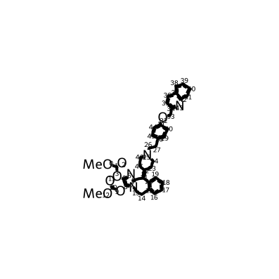 COC(=O)Oc1nc2n(c1OC(=O)OC)CCc1ccccc1C2=C1CCN(CCc2ccc(OCc3ccc4ccccc4n3)cc2)CC1